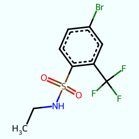 CCNS(=O)(=O)c1ccc(Br)cc1C(F)(F)F